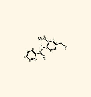 COc1cc(CBr)ccc1OC(=O)c1ccccc1